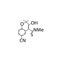 CNC(=S)C1=C(O)C(C)(C)Oc2ccc(C#N)cc21